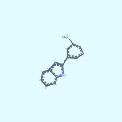 COc1[c]ccc(-c2cc3ccccc3[nH]2)c1